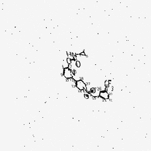 O=C(NC1CC1)Oc1cccc(C2=CCN(S(=O)(=O)Cc3cccc(C(F)(F)F)c3)CC2)n1